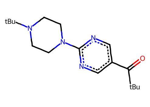 CC(C)(C)C(=O)c1cnc(N2CCN(C(C)(C)C)CC2)nc1